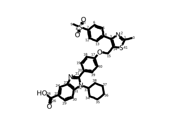 Cc1nc(-c2ccc(S(C)(=O)=O)cc2)c(COc2ccc(-c3nc4cc(C(=O)O)ccc4n3C3CCCCC3)cc2)s1